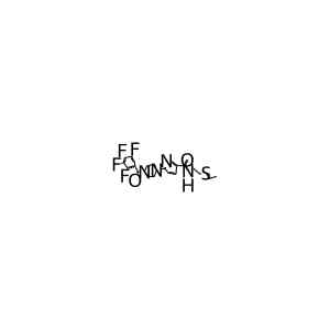 CCSCCNC(=O)c1ccc(N2CCN(C(=O)c3cc(F)c(F)c(F)c3F)CC2)nc1